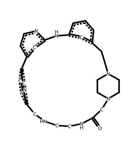 O=C1CN2CCN(CC2)Cc2cccc(c2)Nc2cc(ccn2)-c2cnc(nc2)CNCCN1